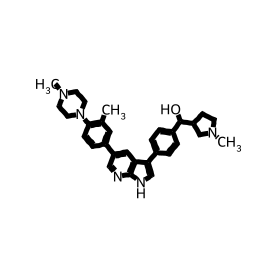 Cc1cc(-c2cnc3[nH]cc(-c4ccc(C(O)C5CCN(C)C5)cc4)c3c2)ccc1N1CCN(C)CC1